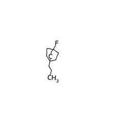 CCCC12CCC(F)(CC1)CC2